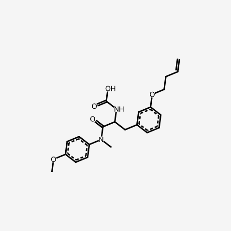 C=CCCOc1cccc(CC(NC(=O)O)C(=O)N(C)c2ccc(OC)cc2)c1